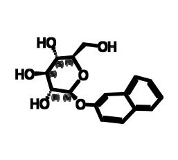 OC[C@H]1O[C@@H](Oc2ccc3ccccc3c2)[C@H](O)[C@@H](O)[C@@H]1O